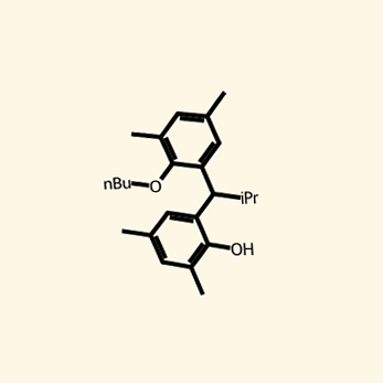 CCCCOc1c(C)cc(C)cc1C(c1cc(C)cc(C)c1O)C(C)C